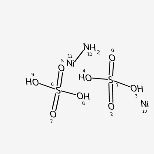 O=S(=O)(O)O.O=S(=O)(O)O.[NH2][Ni].[Ni]